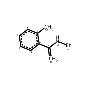 C=C(NCC)c1ccccc1C